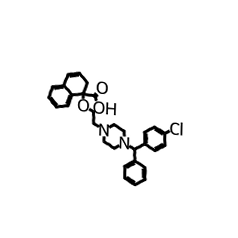 O=C(O)C1(OCCN2CCN(C(c3ccccc3)c3ccc(Cl)cc3)CC2)CC=Cc2ccccc21